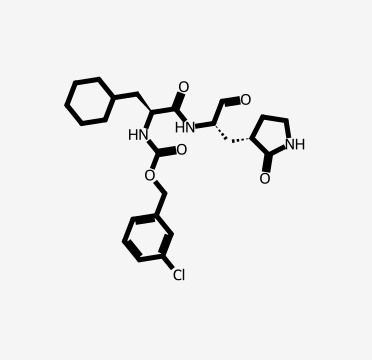 O=C[C@H](C[C@@H]1CCNC1=O)NC(=O)[C@H](CC1CCCCC1)NC(=O)OCc1cccc(Cl)c1